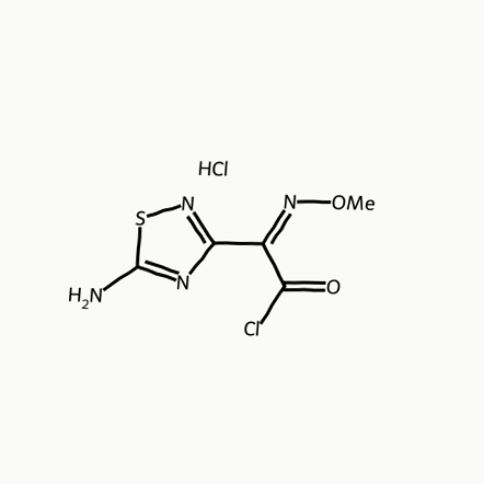 CON=C(C(=O)Cl)c1nsc(N)n1.Cl